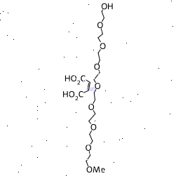 COCCOCCOCCOCCOCCOCCOCCOCCO.O=C(O)/C=C\C(=O)O